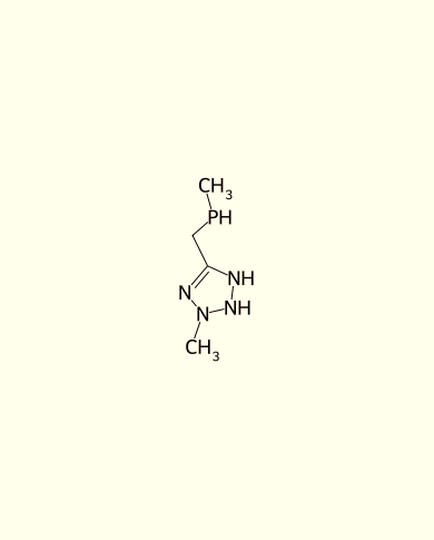 CPCC1=NN(C)NN1